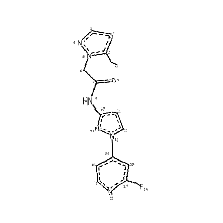 Cc1ccnn1CC(=O)Nc1ccn(-c2ccnc(F)c2)n1